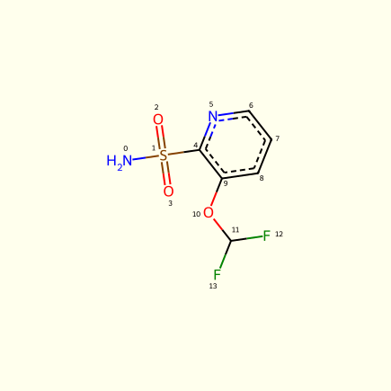 NS(=O)(=O)c1ncccc1OC(F)F